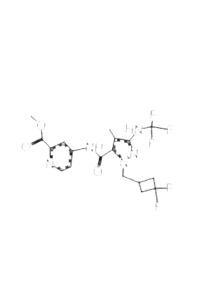 COC(=O)c1cc(NC(=O)c2c(C)c(NC(F)(F)F)nn2CC2CC(F)(F)C2)ccn1